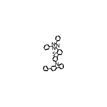 c1ccc(-c2ccc3c4ccccc4n(-c4ccc5sc6c(-c7nc(-c8ccccc8)nc(-c8ccccc8)n7)cccc6c5c4)c3c2)cc1